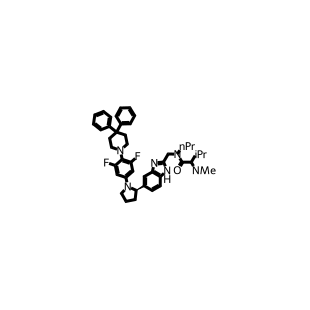 CCCN(Cc1nc2cc([C@H]3CCCN3c3cc(F)c(N4CCC(c5ccccc5)(c5ccccc5)CC4)c(F)c3)ccc2[nH]1)C(=O)C(NC)C(C)C